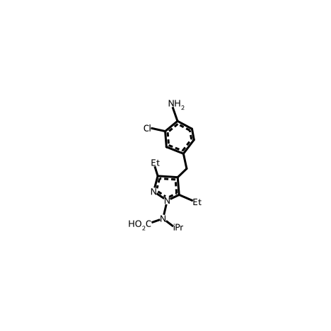 CCc1nn(N(C(=O)O)C(C)C)c(CC)c1Cc1ccc(N)c(Cl)c1